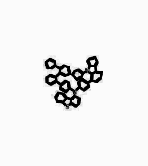 c1ccc(-c2ccccc2-c2ccccc2-c2ccc(N(c3ccc(-c4cccc5c6ccccc6n(-c6ccccc6)c45)cc3)c3cccc4sc5ccccc5c34)cc2)cc1